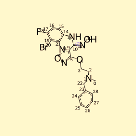 CN(CCOc1nonc1/C(=N/O)Nc1ccc(F)c(Br)c1)Cc1ccccc1